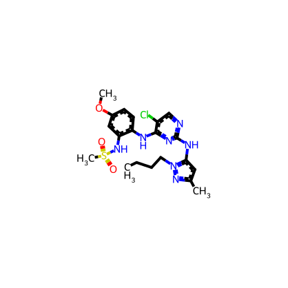 CCCCn1nc(C)cc1Nc1ncc(Cl)c(Nc2ccc(OC)cc2NS(C)(=O)=O)n1